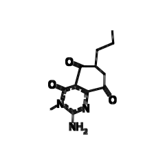 CCCC1CC(=O)c2nc(N)n(C)c(=O)c2C1=O